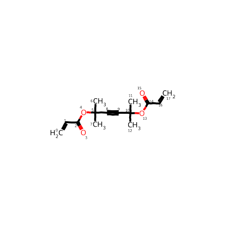 C=CC(=O)OC(C)(C)C#CC(C)(C)OC(=O)C=C